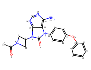 CCC(=O)N1CC(n2c(=O)n(-c3ccc(Oc4ccccc4)cc3)c3c(N)ncnc32)C1